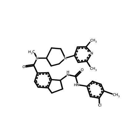 Cc1cc(N2CCC(N(C)C(=O)c3ccc4c(c3)C(NC(=O)Nc3ccc(C)c(Cl)c3)CC4)CC2)cc(C)n1